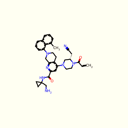 C=CC(=O)N1CCN(c2cc(C(=O)NC3(CN)CC3)nc3c2CCN(c2cccc4cccc(C)c24)C3)C[C@@H]1CC#N